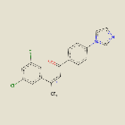 O=C(/C=C(\c1cc(Cl)cc(Cl)c1)C(F)(F)F)c1ccc(-n2ccnc2)cc1